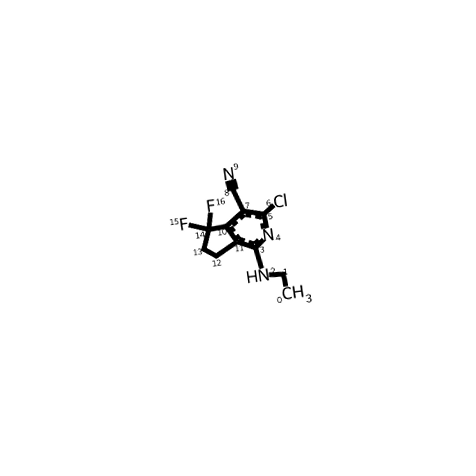 CCNc1nc(Cl)c(C#N)c2c1CCC2(F)F